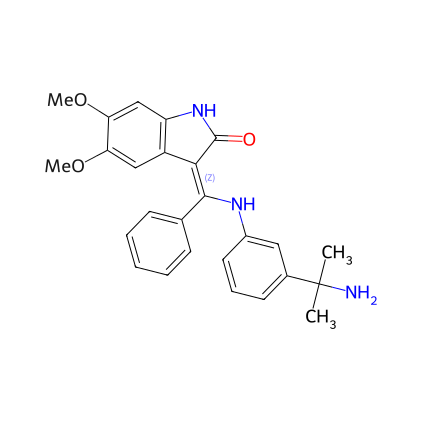 COc1cc2c(cc1OC)/C(=C(/Nc1cccc(C(C)(C)N)c1)c1ccccc1)C(=O)N2